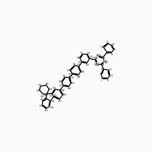 c1ccc(-c2nc(-c3ccccc3)nc(-c3cccc(-c4ccc(-c5ccc(-c6ccc7c(c6)C6(CCCCC6)c6ccccc6-7)cc5)cc4)c3)n2)cc1